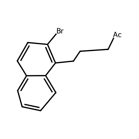 CC(=O)CCCc1c(Br)ccc2ccccc12